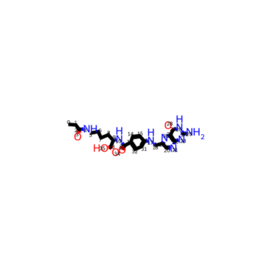 CCC(=O)NCCCCC(NC(=O)c1ccc(NCc2cnc3nc(N)[nH]c(=O)c3n2)cc1)C(=O)O